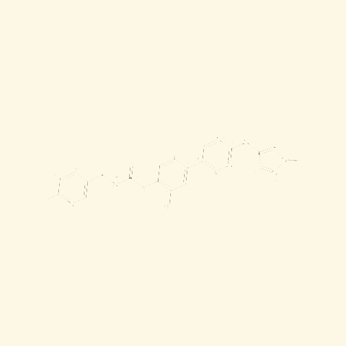 Cn1cc(Nc2ncc(-c3ccc(CC(=O)NCc4ccc(C(F)(F)F)nc4)c(F)c3)cn2)cn1